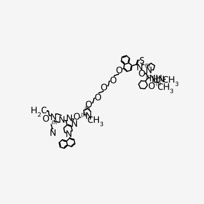 C=CC(=O)N1CCN(c2nc(OC[C@@H]3C[C@@H](OCCOCCOCCOCCOc4ccc(-c5csc([C@@H]6CCCN6C(=O)[C@@H](NC(=O)[C@H](C)NC)C6CCCCC6)n5)c5ccccc45)CN3C)nc3c2CCN(c2cccc4ccccc24)C3)C[C@@H]1CC#N